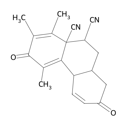 CC1=C(C)C2(C#N)C(=C(C)C1=O)C1C=CC(=O)CC1CC2C#N